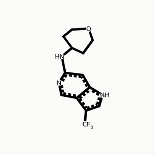 FC(F)(F)c1c[nH]c2cc(NC3CCOCC3)ncc12